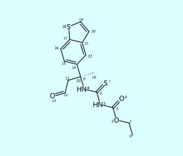 CCOC(=O)NC(=S)N[C@@](C)(CC=O)c1ccc2sccc2c1